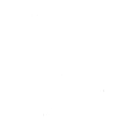 CC(c1ccc(O)cc1)(c1ccc(O)cc1)c1cccc(-c2ccc(O)cc2)c1